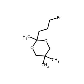 CC1(C)COC(C)(CCCBr)OC1